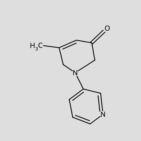 CC1=CC(=O)CN(c2cccnc2)C1